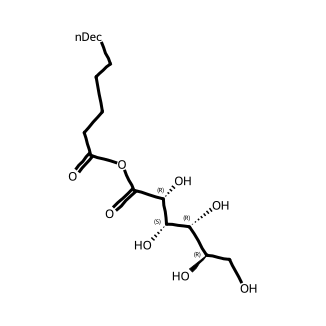 CCCCCCCCCCCCCCC(=O)OC(=O)[C@H](O)[C@@H](O)[C@H](O)[C@H](O)CO